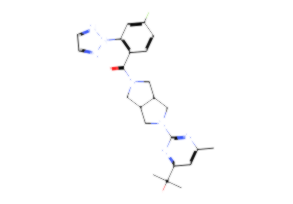 Cc1cc(C(C)(C)O)nc(N2CC3CN(C(=O)c4ccc(F)cc4-n4nccn4)CC3C2)n1